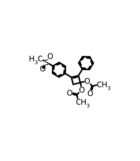 CC(=O)OC1(OC(C)=O)CC(c2ccc(S(C)(=O)=O)cc2)=C1c1ccccc1